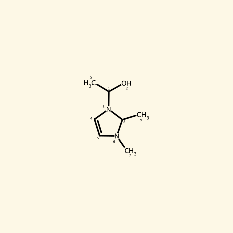 CC(O)N1C=CN(C)C1C